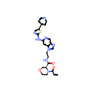 C=CC(=O)N1CCOC[C@H]1C(=O)NCCn1cnc2cnc(Nc3ncc(-c4ccncc4)s3)cc21